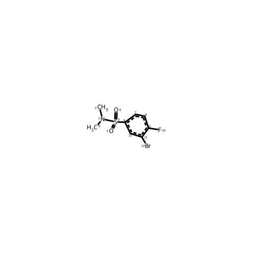 CN(C)S(=O)(=O)c1ccc(F)c(Br)c1